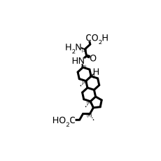 C[C@H](CCC(=O)O)C1CCC2C3CC[C@@H]4C[C@H](NC(=O)[C@@H](N)CC(=O)O)CC[C@]4(C)C3CC[C@@]21C